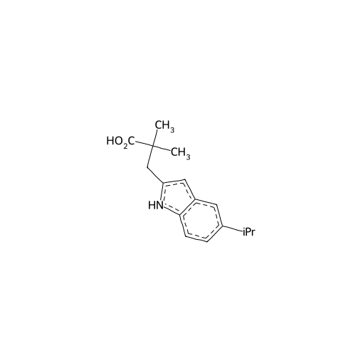 CC(C)c1ccc2[nH]c(CC(C)(C)C(=O)O)cc2c1